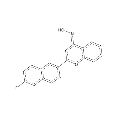 ON=c1cc(-c2cc3ccc(F)cc3cn2)oc2ccccc12